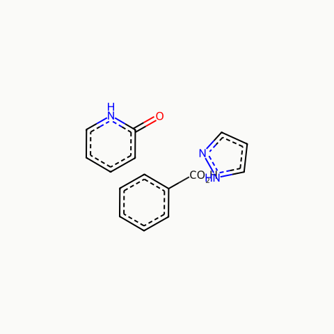 O=C(O)c1ccccc1.O=c1cccc[nH]1.c1cn[nH]c1